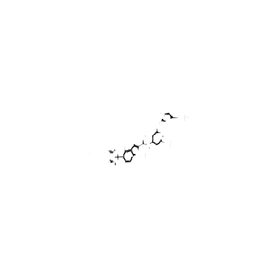 Cc1cnc(Oc2cc(NC(=O)c3cc4cc(C(C)(C)S(C)(=O)=O)ccc4s3)cc(Cl)n2)s1